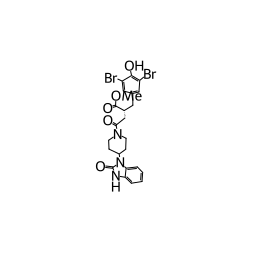 COC(=O)[C@@H](CC(=O)N1CCC(n2c(=O)[nH]c3ccccc32)CC1)Cc1cc(Br)c(O)c(Br)c1